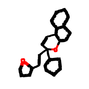 C(=CC1(c2ccccc2)C=Cc2c(ccc3ccccc23)O1)c1ccco1